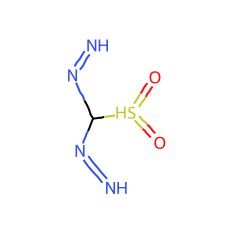 N=NC(N=N)[SH](=O)=O